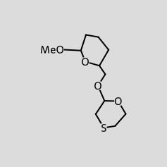 COC1CCCC(COC2CSCCO2)O1